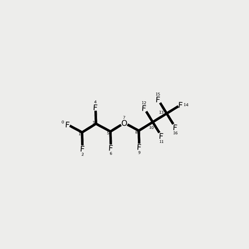 FC(F)C(F)C(F)OC(F)C(F)(F)C(F)(F)F